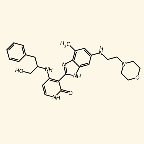 Cc1cc(NCCN2CCOCC2)cc2[nH]c(-c3c(NC(CO)Cc4ccccc4)cc[nH]c3=O)nc12